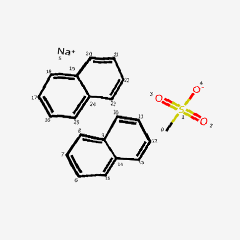 CS(=O)(=O)[O-].[Na+].c1ccc2ccccc2c1.c1ccc2ccccc2c1